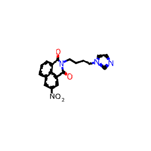 O=C1c2cccc3cc([N+](=O)[O-])cc(c23)C(=O)N1CCCCn1ccnc1